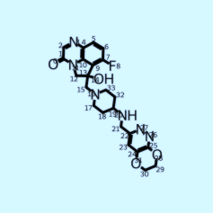 O=c1cnc2ccc(F)c3c2n1CC3(O)CN1CCC(NCc2cc3c(nn2)OCCO3)CC1